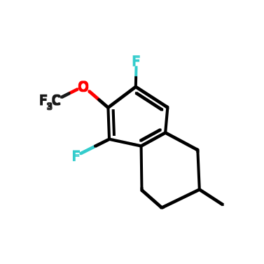 CC1CCc2c(cc(F)c(OC(F)(F)F)c2F)C1